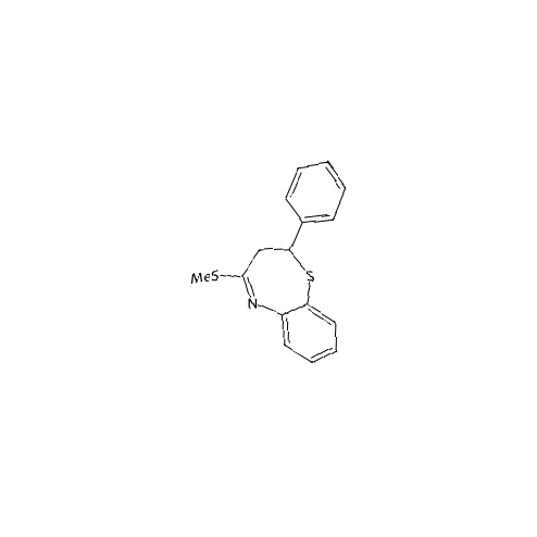 CSC1=Nc2ccccc2SC(c2ccccc2)C1